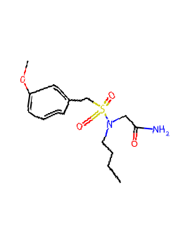 CCCCN(CC(N)=O)S(=O)(=O)Cc1cccc(OC)c1